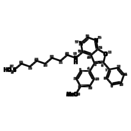 COc1ccc(-c2c(-c3ccccc3)oc3ncnc(NCCCCCCCS(=O)(=O)O)c23)cc1